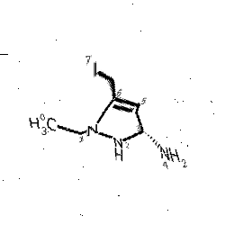 CN1N[C@@H](N)C=C1I